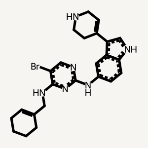 Brc1cnc(Nc2ccc3[nH]cc(C4=CCNCC4)c3c2)nc1NCC1=CCCCC1